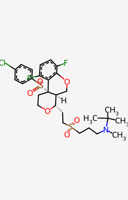 CN(CCCS(=O)(=O)CC[C@@H]1OCC[C@@]2(S(=O)(=O)c3ccc(Cl)cc3)c3c(F)ccc(F)c3OC[C@@H]12)C(C)(C)C